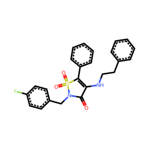 O=C1C(NCCc2cc[c]cc2)=C(c2ccccc2)S(=O)(=O)N1Cc1ccc(F)cc1